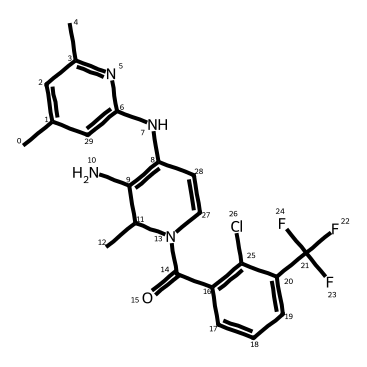 Cc1cc(C)nc(NC2=C(N)C(C)N(C(=O)c3cccc(C(F)(F)F)c3Cl)C=C2)c1